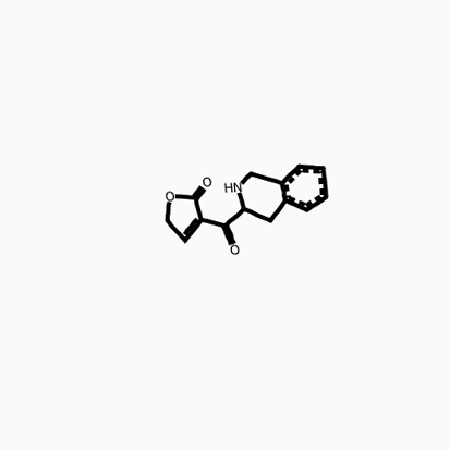 O=C1OCC=C1C(=O)C1Cc2ccccc2CN1